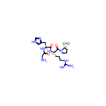 N=C(N)NCCC[C@H](NC(=O)[C@H](Cc1c[nH]cn1)NC(=O)CN)C(=O)N1CCC[C@H]1[C]=O